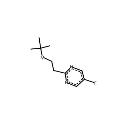 CC(C)(C)OCCc1ncc(F)cn1